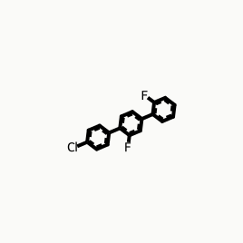 Fc1ccccc1-c1ccc(-c2ccc(Cl)cc2)c(F)c1